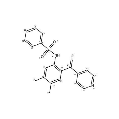 Cc1cc(NS(=O)(=O)c2ccccc2)c(C(=O)c2ccncc2)cc1C